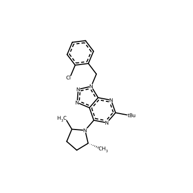 CC1CC[C@@H](C)N1c1nc(C(C)(C)C)nc2c1nnn2Cc1ccccc1Cl